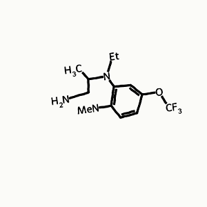 CCN(c1cc(OC(F)(F)F)ccc1NC)C(C)CN